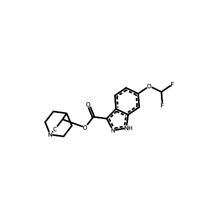 O=C(OC1CN2CCC1CC2)c1n[nH]c2cc(OC(F)F)ccc12